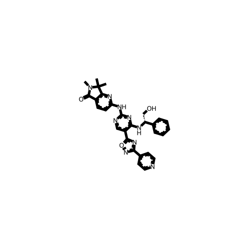 CN1C(=O)c2ccc(Nc3ncc(-c4nc(-c5ccncc5)no4)c(N[C@H](CO)c4ccccc4)n3)nc2C1(C)C